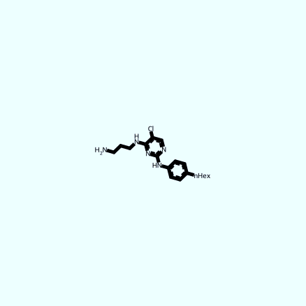 CCCCCCc1ccc(Nc2ncc(Cl)c(NCCCN)n2)cc1